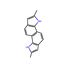 Cc1cc2ccc3c(ccc4cc(C)[nH]c43)c2[nH]1